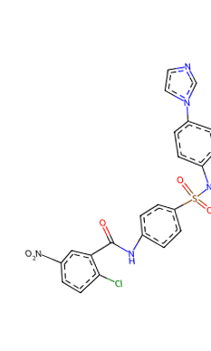 O=C(Nc1ccc(S(=O)(=O)Nc2ccc(-n3ccnc3)cc2)cc1)c1cc([N+](=O)[O-])ccc1Cl